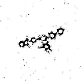 Nc1c(Br)cc(C[C@@H](NC(=O)N2CCC(N3C(=O)c4ccccc4C3=O)CC2)C(=O)N2CCC(N3CCCCC3)CC2)cc1Br